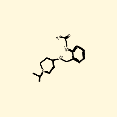 CC(C)N1CCC(NCc2ccccc2NC(N)=O)CC1